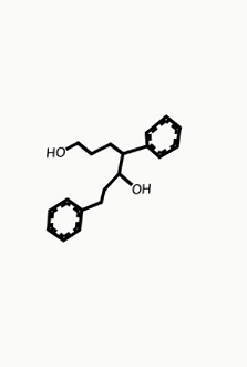 OCCCC(c1ccccc1)C(O)CCc1ccccc1